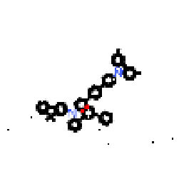 Cc1ccc2c(c1)c1cc(C)ccc1n2-c1ccc(-c2ccc(-c3ccc(N(c4ccc5c(c4)C(C)(C)c4ccccc4-5)c4ccccc4-c4cccc(-c5ccccc5)c4)cc3)cc2)cc1